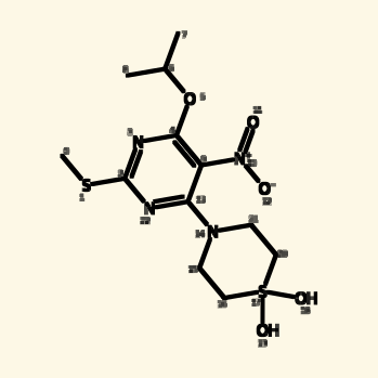 CSc1nc(OC(C)C)c([N+](=O)[O-])c(N2CCS(O)(O)CC2)n1